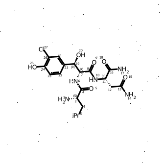 CC(C)C[C@H](N)C(=O)N[C@@H](C(=O)N[C@@H](CC(N)=O)C(N)=O)[C@H](O)c1ccc(O)c(Cl)c1